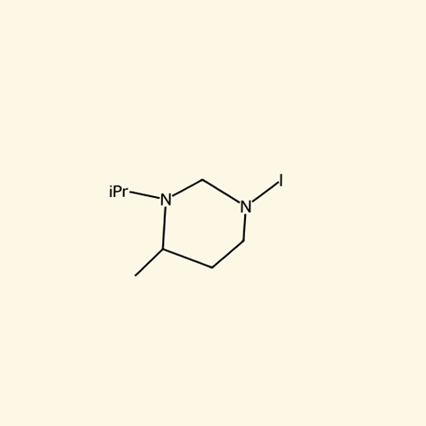 CC(C)N1CN(I)CCC1C